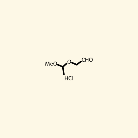 COC(C)OCC=O.Cl